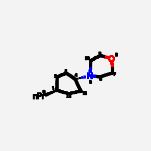 CCC[C@H]1CC[C@H](N2CCOCC2)CC1